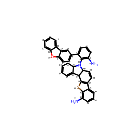 Nc1cccc(-c2ccc3oc4ccccc4c3c2)c1N1C2CC=CC=C2C2c3sc4c(N)cccc4c3C=CC21